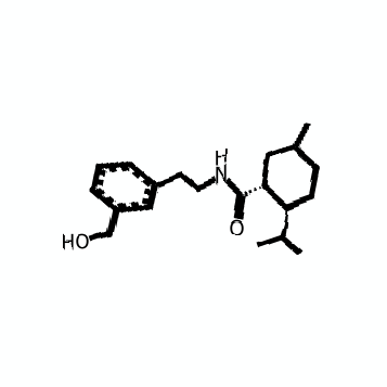 CC1CC[C@@H](C(C)C)[C@H](C(=O)NCCc2cccc(CO)c2)C1